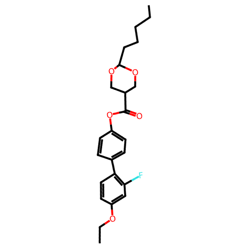 CCCCCC1OCC(C(=O)Oc2ccc(-c3ccc(OCC)cc3F)cc2)CO1